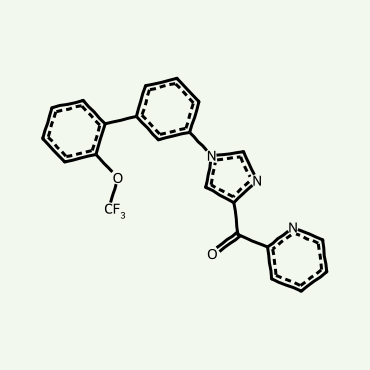 O=C(c1ccccn1)c1cn(-c2cccc(-c3ccccc3OC(F)(F)F)c2)cn1